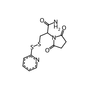 NC(=O)C(CSSc1ccccn1)N1C(=O)CCC1=O